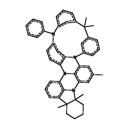 Cc1cc2c3c(c1)N1c4c(cccc4C4(C)CCCCC14C)B3c1ccc3cc1N2c1cccc(c1)C(C)(C)c1cccc(c1)N3c1ccccc1